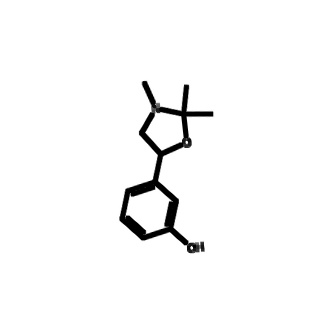 CN1CC(c2cccc(O)c2)OC1(C)C